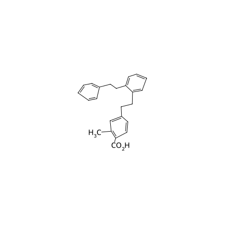 Cc1cc(CCc2ccccc2CCc2ccccc2)ccc1C(=O)O